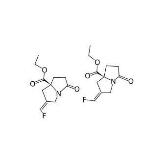 CCOC(=O)[C@@]12CCC(=O)N1C/C(=C\F)C2.CCOC(=O)[C@@]12CCC(=O)N1CC(=CF)C2